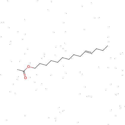 CCCC=CCCCCCCCCCOC(C)=O